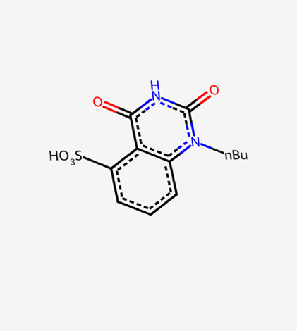 CCCCn1c(=O)[nH]c(=O)c2c(S(=O)(=O)O)cccc21